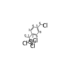 CC(c1ccc(CCl)cc1)[Si](Cl)(Cl)Cl